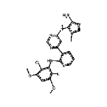 COc1cc(OC)c(Cl)c(Nc2ncccc2-c2cc(Nc3c(N)ncn3C)ncn2)c1Cl